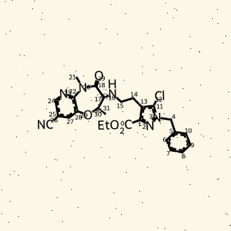 CCOC(=O)c1nn(Cc2ccccc2)c(Cl)c1CCN[C@@H]1C(=O)N(C)c2ncc(C#N)cc2O[C@@H]1C